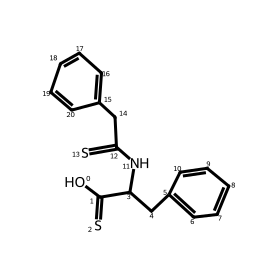 OC(=S)C(Cc1ccccc1)NC(=S)Cc1ccccc1